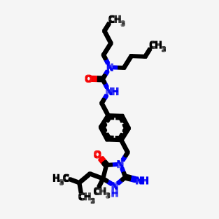 CCCCN(CCCC)C(=O)NCc1ccc(CN2C(=N)NC(C)(CC(C)C)C2=O)cc1